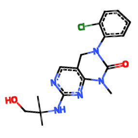 CN1C(=O)N(c2ccccc2Cl)Cc2cnc(NC(C)(C)CO)nc21